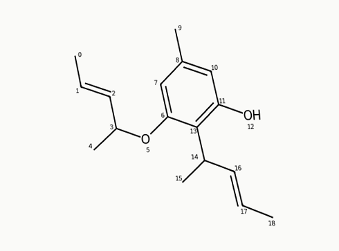 CC=CC(C)Oc1cc(C)cc(O)c1C(C)C=CC